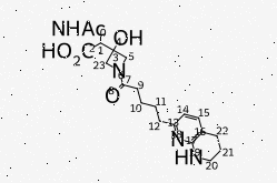 CC(=O)NC(C(=O)O)C1(O)CN(C(=O)CCCCc2ccc3c(n2)NCCC3)C1